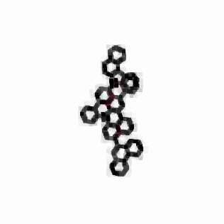 c1ccc(-c2ccc(N(c3ccc(-c4cc5ccccc5c5ccccc45)cc3)c3ccccc3-c3ccc(-n4c5ccccc5c5c6ccccc6ccc54)cc3)c(-c3ccccc3)c2)cc1